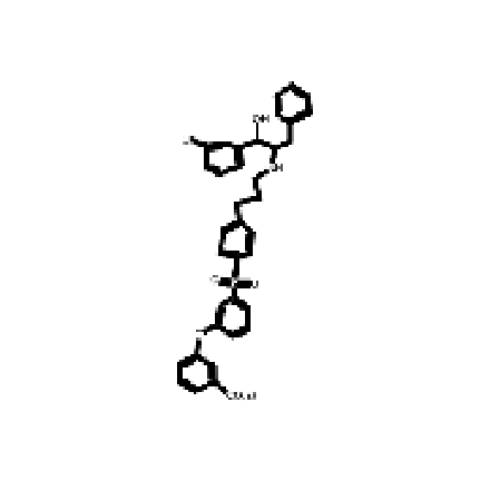 CCOC(=O)c1cccc(Oc2cccc(S(=O)(=O)c3ccc(CCCNC(Cc4ccccc4)[C@H](O)c4cccc(Cl)c4)cc3)c2)c1